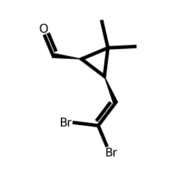 CC1(C)[C@H](C=O)[C@@H]1C=C(Br)Br